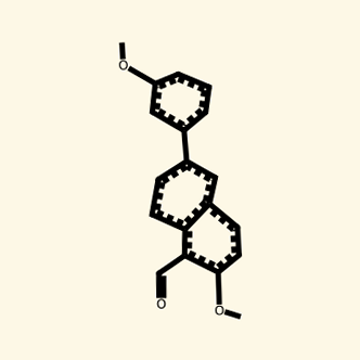 COc1cccc(-c2ccc3c(C=O)c(OC)ccc3c2)c1